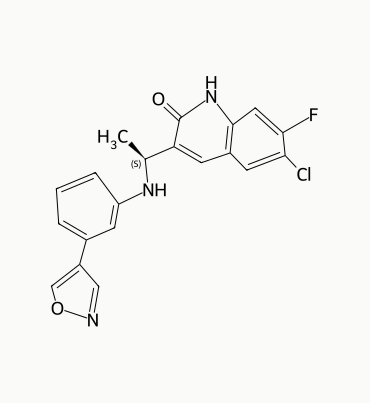 C[C@H](Nc1cccc(-c2cnoc2)c1)c1cc2cc(Cl)c(F)cc2[nH]c1=O